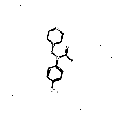 Cc1ccc(N(SN2CCOCC2)C(=O)F)cc1